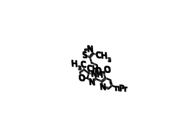 CCCc1cnc(C2=NC3OCC(C)C3(C)N2)c(C(=O)OCCc2scnc2C)c1